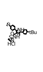 CN(C)c1ccc(-c2[nH]c(-c3ccc(C(C)(C)C)cc3)nc2C(=O)Nc2nccs2)cc1.Cl